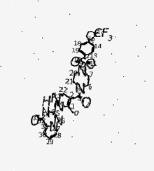 Cc1c(C(=O)N2CCN(S(=O)(=O)c3ccc(OC(F)(F)F)cc3)CC2)cnn1-c1nn2cccc2c(=O)[nH]1